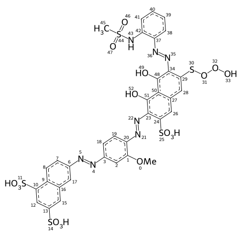 COc1cc(N=Nc2ccc3c(S(=O)(=O)O)cc(S(=O)(=O)O)cc3c2)ccc1N=Nc1c(S(=O)(=O)O)cc2cc(SOOO)c(N=Nc3ccccc3NS(C)(=O)=O)c(O)c2c1O